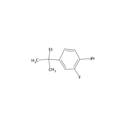 CCC(C)(C)c1ccc(C(C)C)c(F)c1